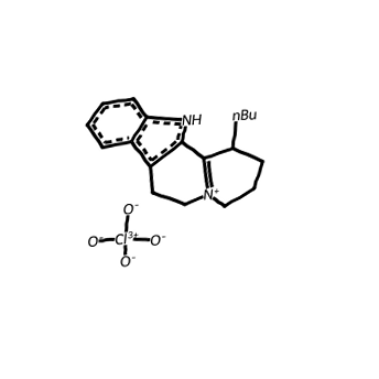 CCCCC1CCC[N+]2=C1c1[nH]c3ccccc3c1CC2.[O-][Cl+3]([O-])([O-])[O-]